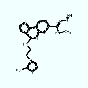 CN/C(=N\N=N)c1ccc2c(c1)nc(NCCn1ccnc1C)c1ccsc12